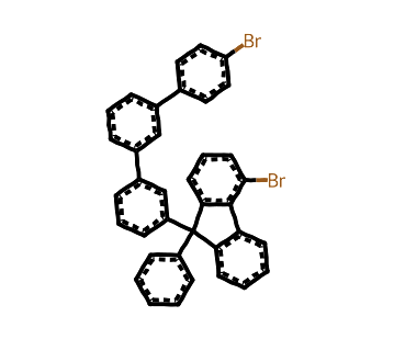 Brc1ccc(-c2cccc(-c3cccc(C4(c5ccccc5)c5ccccc5-c5c(Br)cccc54)c3)c2)cc1